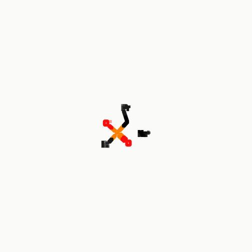 CCP(=O)([O-])CC(C)C.[Na+]